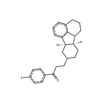 O=C(CCN1CC[C@H]2[C@@H](C1)c1cccc3c1N2CCC3)c1ccc(F)cc1